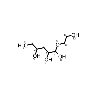 CCC(O)CC(O)C(O)OCCO